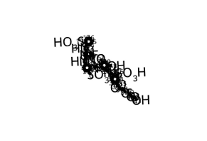 O=S(=O)(O)c1ccc(Nc2nc(F)nc(Nc3ccccc3S(=O)(=O)O)n2)cc1/N=N/c1cc(/N=N/c2ccc(S(=O)(=O)CCOSOOO)cc2S(=O)(=O)O)c(O)cc1O